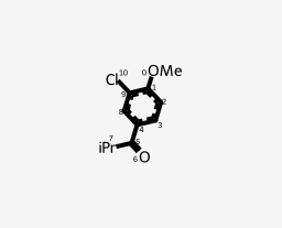 COc1ccc(C(=O)C(C)C)cc1Cl